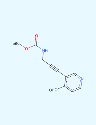 CCCCOC(=O)NCC#Cc1cnccc1C=O